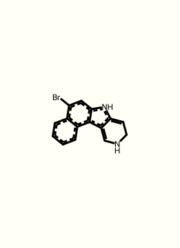 Brc1cc2[nH]c3c(c2c2ccccc12)=CNCC=3